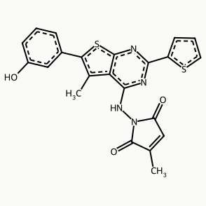 CC1=CC(=O)N(Nc2nc(-c3cccs3)nc3sc(-c4cccc(O)c4)c(C)c23)C1=O